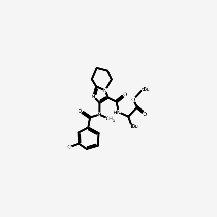 CCC(C)C(NC(=O)c1c(N(C)C(=O)c2cccc(Cl)c2)nc2n1CCCC2)C(=O)OC(C)(C)C